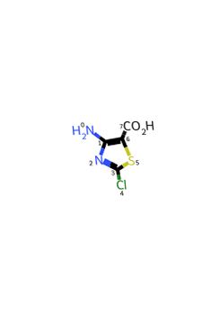 Nc1nc(Cl)sc1C(=O)O